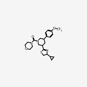 O=C(N1CCOCC1)N1CC(C2=NC(C3CC3)CS2)CC(c2ccc(OC(F)(F)F)cc2)C1